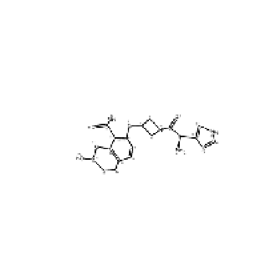 N[C@@H](C(=O)N1CC(Oc2ccc3c(c2C(=O)O)OB(O)CC3)C1)c1c[nH]cn1